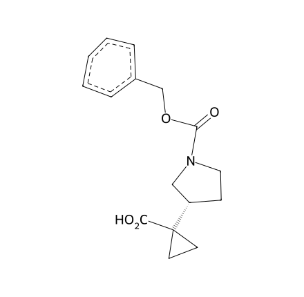 O=C(OCc1ccccc1)N1CC[C@H](C2(C(=O)O)CC2)C1